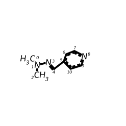 CN(C)N=Cc1ccncc1